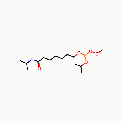 COOP(OCCCCCCC(=O)NC(C)C)OC(C)C